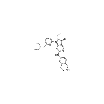 CCN(CC)Cc1cccc(-n2c3nc(Nc4ccc5c(c4)CCNC5)ncc3c(=O)n2CC)n1